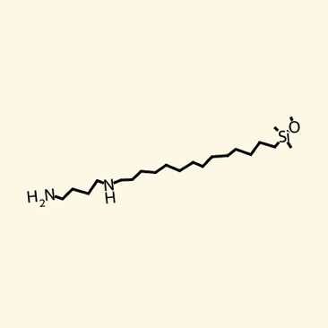 CO[Si](C)(C)CCCCCCCCCCCCCCNCCCCN